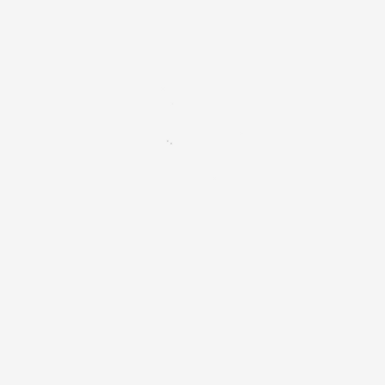 CCOC(=O)c1ccc(C=CCc2cc(OC)ccc2OCCO)n1C